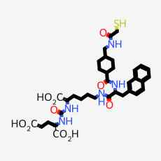 O=C(O)CC[C@H](NC(=O)NC(CCCCNC(=O)C(Cc1ccc2ccccc2c1)NC(=O)C1CCC(CNC(=O)CS)CC1)C(=O)O)C(=O)O